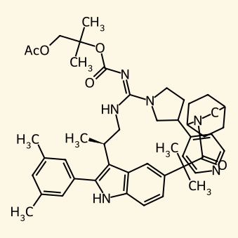 CC(=O)OCC(C)(C)OC(=O)/N=C(\NC[C@H](C)c1c(-c2cc(C)cc(C)c2)[nH]c2ccc(C(C)(C)C(=O)N3CC4CCC3CC4)cc12)N1CCC(c2ccncc2)C1